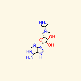 CC(CN)N(C)C[C@H]1O[C@@H](N2CNC3C(N)NCN(C)C32)[C@H](O)[C@@H]1O